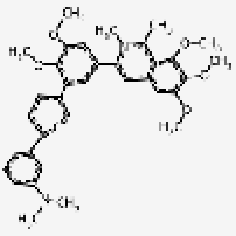 COc1cc(-c2cc3cc(OC)c(OC)c(OC)c3c(C)[n+]2C)cc(-c2ccc(-c3cccc(N(C)C)c3)cc2)c1OC